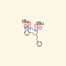 CC(C)(C)OC(=O)NCCN(CC(CCc1ccccc1)CCc1ccccc1)C(=O)OC(C)(C)C